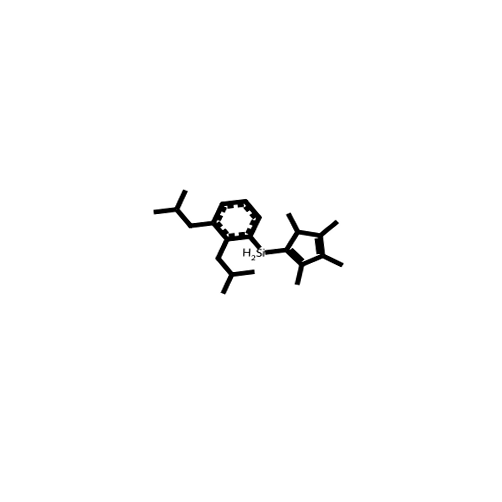 CC1=C(C)C(C)C([SiH2]c2cccc(CC(C)C)c2CC(C)C)=C1C